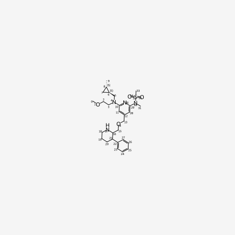 COCCN(C[C@H]1C[C@@H]1C)c1cc(COCC2NCCCC2c2ccccc2)cc(N(C)S(C)(=O)=O)n1